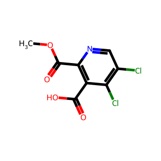 COC(=O)c1ncc(Cl)c(Cl)c1C(=O)O